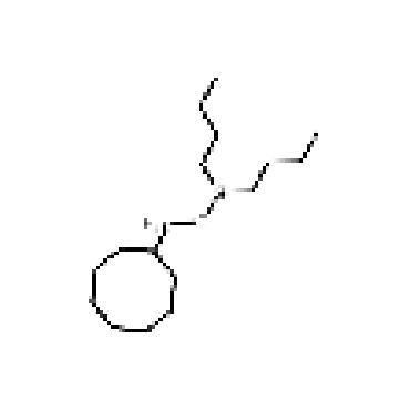 CCCC[Si](CCCC)O[SiH2]C1CCCCCCC1